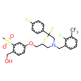 CS(=O)(=O)c1cc(OCCCN(Cc2cccc(C(F)(F)F)c2F)CC(F)(F)c2ccc(F)cc2)ccc1CO